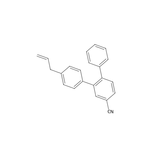 C=CCc1ccc(-c2cc(C#N)ccc2-c2ccccc2)cc1